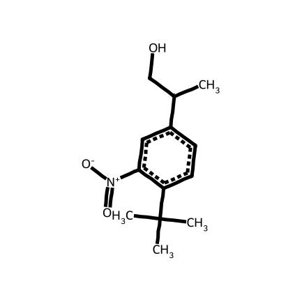 C[C](CO)c1ccc(C(C)(C)C)c([N+](=O)[O-])c1